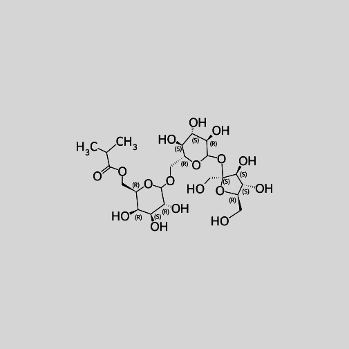 CC(C)C(=O)OC[C@H]1OC(OC[C@H]2OC(O[C@]3(CO)O[C@H](CO)[C@@H](O)[C@@H]3O)[C@H](O)[C@@H](O)[C@@H]2O)[C@H](O)[C@@H](O)[C@H]1O